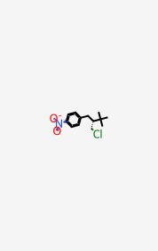 CC(C)(C)[C@H](CCl)Cc1ccc([N+](=O)[O-])cc1